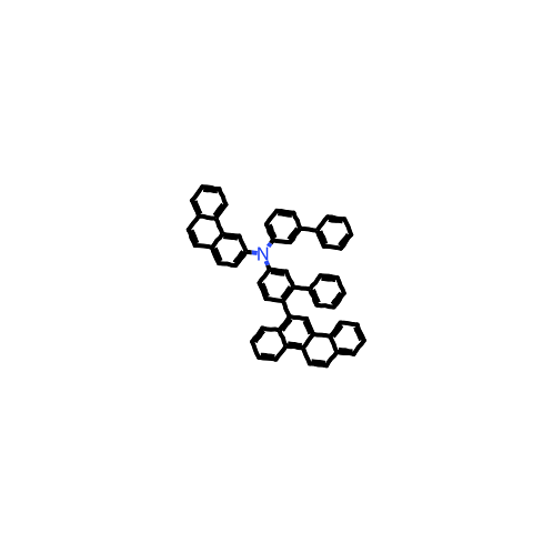 c1ccc(-c2cccc(N(c3ccc(-c4cc5c6ccccc6ccc5c5ccccc45)c(-c4ccccc4)c3)c3ccc4ccc5ccccc5c4c3)c2)cc1